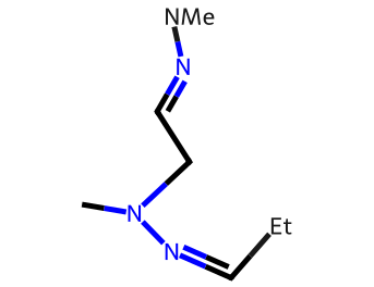 CC/C=N\N(C)C/C=N/NC